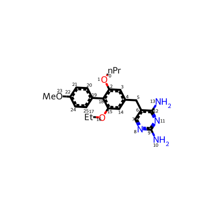 CCCOc1cc(Cc2cnc(N)nc2N)cc(OCC)c1-c1ccc(OC)cc1